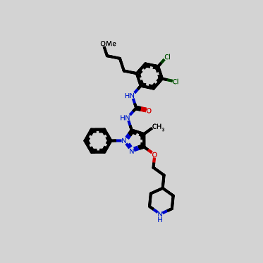 COCCCc1cc(Cl)c(Cl)cc1NC(=O)Nc1c(C)c(OCCC2CCNCC2)nn1-c1ccccc1